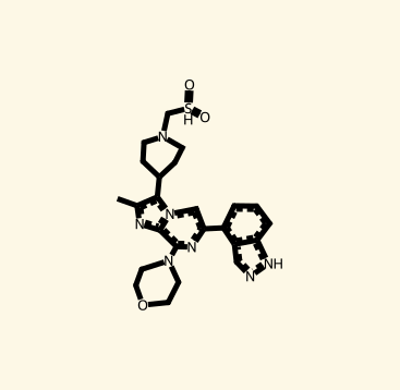 Cc1nc2c(N3CCOCC3)nc(-c3cccc4[nH]ncc34)cn2c1C1CCN(C[SH](=O)=O)CC1